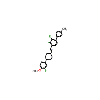 CCCCOc1ccc(C2CCC(/C=C/c3ccc(-c4ccc(C)cc4)c(F)c3F)CC2)cc1F